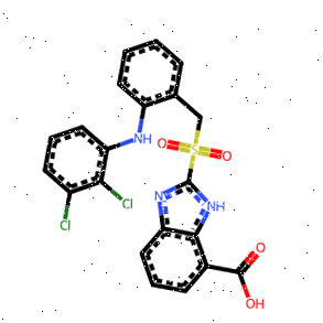 O=C(O)c1cccc2nc(S(=O)(=O)Cc3ccccc3Nc3cccc(Cl)c3Cl)[nH]c12